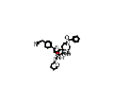 N#CCc1ccc(-c2ccc(C3(CC(=O)NOC4CCCCO4)CCN(C(=O)c4ccccc4)CCS3(=O)=O)s2)cc1